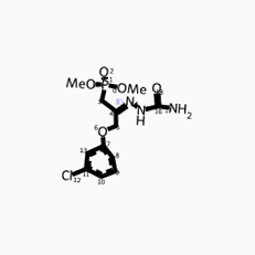 COP(=O)(C/C(COc1cccc(Cl)c1)=N/NC(N)=O)OC